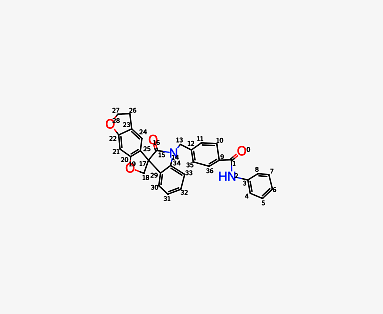 O=C(Nc1ccccc1)c1ccc(CN2C(=O)C3(COc4cc5c(cc43)CCO5)c3ccccc32)cc1